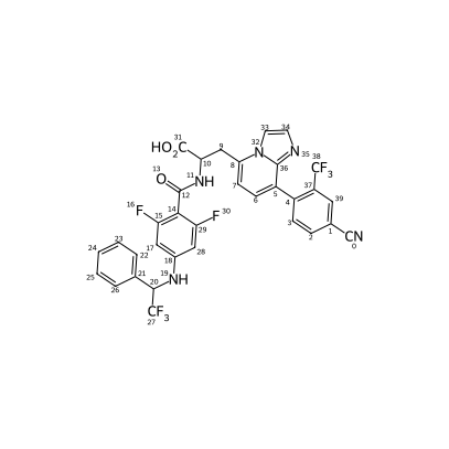 N#Cc1ccc(-c2ccc(CC(NC(=O)c3c(F)cc(NC(c4ccccc4)C(F)(F)F)cc3F)C(=O)O)n3ccnc23)c(C(F)(F)F)c1